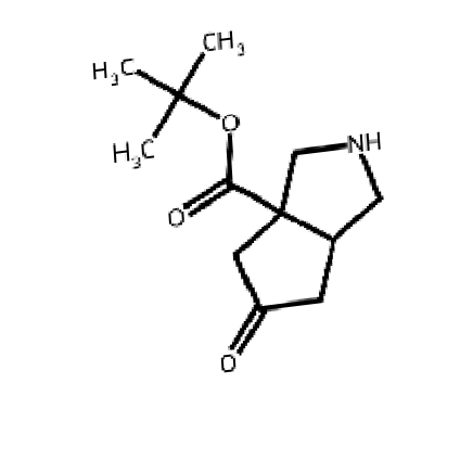 CC(C)(C)OC(=O)C12CNCC1CC(=O)C2